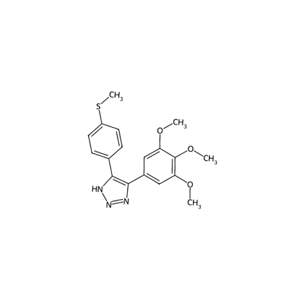 COc1cc(-c2nn[nH]c2-c2ccc(SC)cc2)cc(OC)c1OC